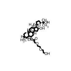 CC(C)(O)[C@@H]1CC[C@@](C)([C@H]2[C@@H](O)C[C@@]3(C)[C@@H]4C[C@H](OC(=O)COCCOCCO)[C@H]5C(C)(C)C(F)(F)CC[C@@]56C[C@@]46CC[C@]23C)O1